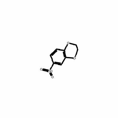 O=[SH](=O)c1ccc2c(c1)OCCO2